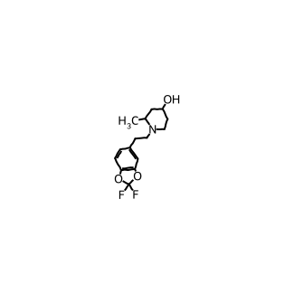 CC1CC(O)CCN1CCc1ccc2c(c1)OC(F)(F)O2